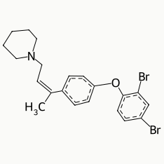 CC(=CCN1CCCCC1)c1ccc(Oc2ccc(Br)cc2Br)cc1